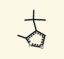 Cc1no[c]c1C(C)(C)C